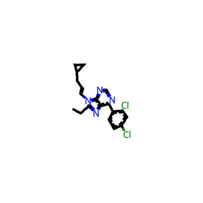 CCc1nc2c(-c3ccc(Cl)cc3Cl)ncnc2n1C=CCC1CC1